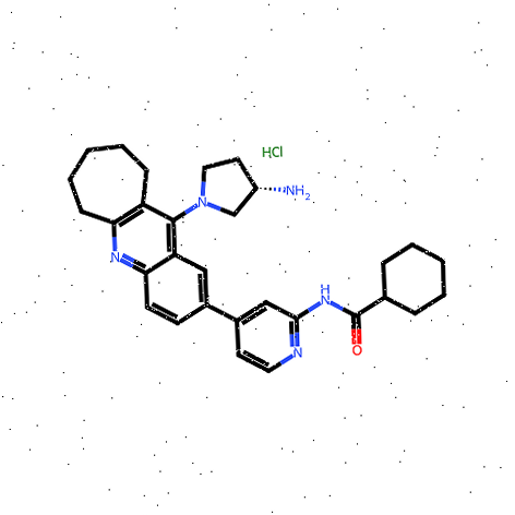 Cl.N[C@H]1CCN(c2c3c(nc4ccc(-c5ccnc(NC(=O)C6CCCCC6)c5)cc24)CCCCC3)C1